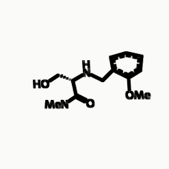 CNC(=O)[C@H](CO)NCc1ccccc1OC